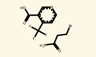 NC(=O)CCBr.O=C(O)c1cnccc1C(F)(F)F